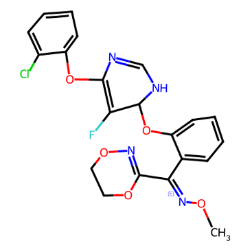 CO/N=C(/C1=NOCCO1)c1ccccc1OC1NC=NC(Oc2ccccc2Cl)=C1F